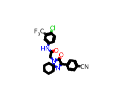 N#Cc1ccc(C2=NC3(CCCCC3)N(CC(=O)Nc3ccc(Cl)c(C(F)(F)F)c3)C2=O)cc1